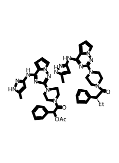 CC(=O)OC(C(=O)N1CCN(c2nc(Nc3cc(C)[nH]n3)c3cccn3n2)CC1)c1ccccc1.CC[C@@H](C(=O)N1CCN(c2nc(Nc3cc(C)[nH]n3)c3cccn3n2)CC1)c1ccccc1